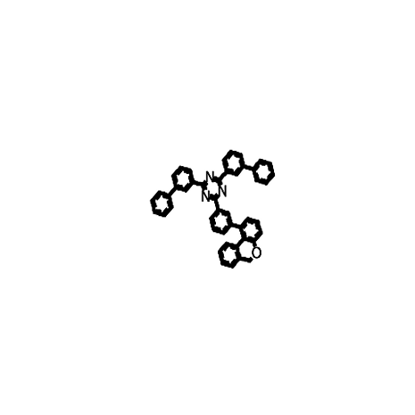 c1ccc(-c2cccc(-c3nc(-c4cccc(-c5ccccc5)c4)nc(-c4cccc(-c5cccc6c5-c5ccccc5CO6)c4)n3)c2)cc1